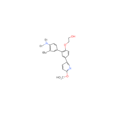 CCN(CC)c1ccc(-c2cc(-c3ccc(OC(=O)O)nc3)ccc2OCCO)cc1C(C)(C)C